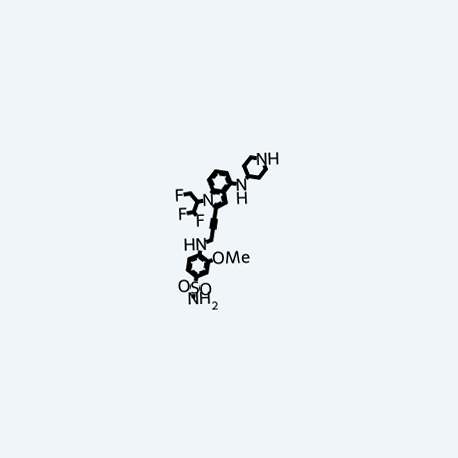 COc1cc(S(N)(=O)=O)ccc1NCC#Cc1cc2c(NC3CCNCC3)cccc2n1C(CF)C(F)F